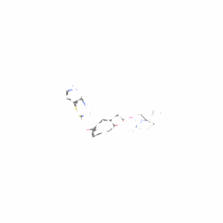 CC(=O)N1C[C@H]2CC[C@@H](C1)N2Cc1cc2cc(Oc3nc4cnccc4s3)ccc2o1